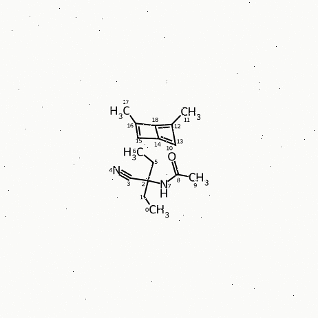 CCC(C#N)(CC)NC(C)=O.Cc1cc2cc(C)c1-2